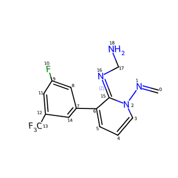 C=Nn1cccc(-c2cc(F)cc(C(F)(F)F)c2)/c1=N/CN